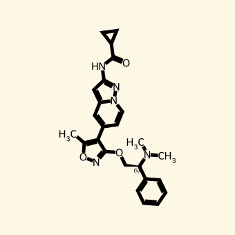 Cc1onc(OC[C@H](c2ccccc2)N(C)C)c1-c1ccn2nc(NC(=O)C3CC3)cc2c1